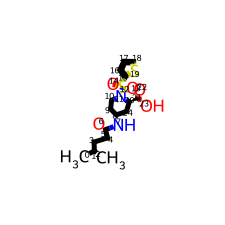 CC(C)CCC(=O)N[C@@H]1CCN(S(=O)(=O)c2cccs2)[C@@H](C(=O)O)C1